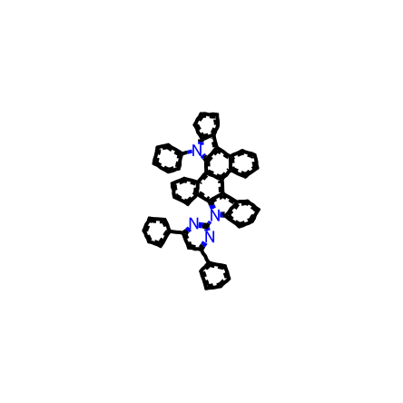 c1ccc(-c2cc(-c3ccccc3)nc(-n3c4ccccc4c4c5c6ccccc6c6c7ccccc7n(-c7ccccc7)c6c5c5ccccc5c43)n2)cc1